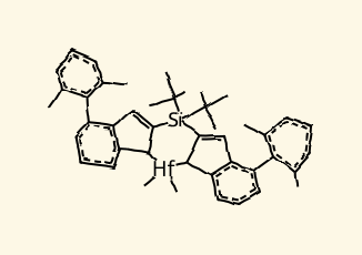 Cc1cccc(C)c1-c1cccc2c1C=C1[CH]2[Hf]([CH3])([CH3])[CH]2C(=Cc3c(-c4c(C)cccc4C)cccc32)[Si]1(C(C)(C)C)C(C)(C)C